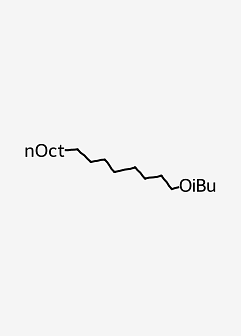 CCCCCCCCCCCCCCCCOCC(C)C